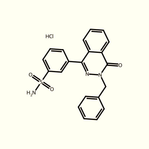 Cl.NS(=O)(=O)c1cccc(-c2nn(Cc3ccccc3)c(=O)c3ccccc23)c1